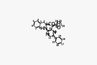 O=C(O)[C@H](Cc1ccccc1)Nc1ncc(-c2ccccc2)nc1CC1CCCO1